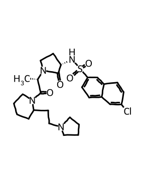 C[C@@H](C(=O)N1CCCCC1CCN1CCCC1)N1CC[C@H](NS(=O)(=O)c2ccc3cc(Cl)ccc3c2)C1=O